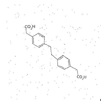 O=C(O)Cc1ccc(CCc2ccc(CC(=O)O)cc2)cc1